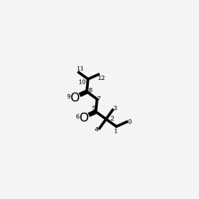 CCC(C)(C)C(=O)CC(=O)C(C)C